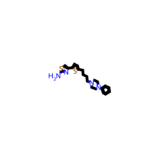 Nc1nc(-c2ccc(CCCCN3CCN(c4ccccc4)CC3)s2)cs1